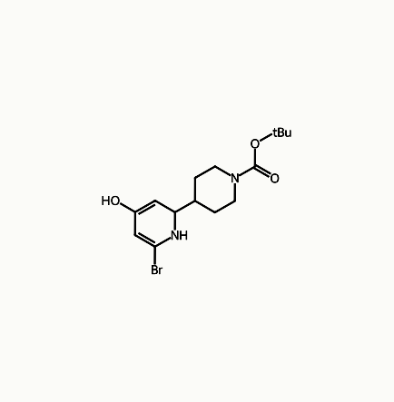 CC(C)(C)OC(=O)N1CCC(C2C=C(O)C=C(Br)N2)CC1